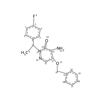 CC(c1ccc(F)cc1)n1ncc(OCc2ccccc2)c(N)c1=O